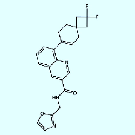 O=C(NCc1ncco1)c1cnc2c(C3=CCC4(CC3)CC(F)(F)C4)cccc2c1